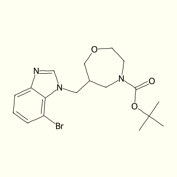 CC(C)(C)OC(=O)N1CCOCC(Cn2cnc3cccc(Br)c32)C1